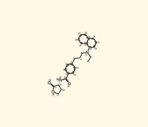 CCN(CCCc1ccc(C(=O)N[C@@H]2CCOC2=O)cc1)c1cccc2ccccc12